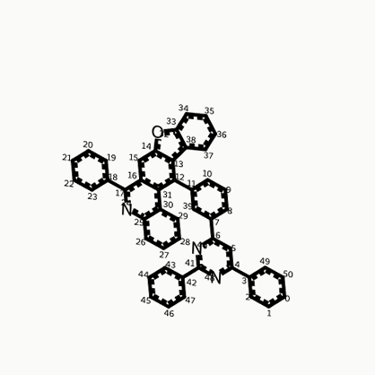 c1ccc(-c2cc(-c3cccc(-c4c5c(cc6c(-c7ccccc7)nc7ccccc7c46)oc4ccccc45)c3)nc(-c3ccccc3)n2)cc1